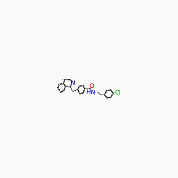 O=C(NCCc1ccc(Cl)cc1)c1ccc(Cc2nc[c]c3ccccc23)cc1